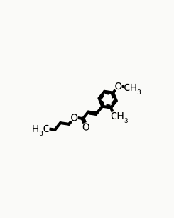 CCCCOC(=O)C=Cc1ccc(OC)cc1C